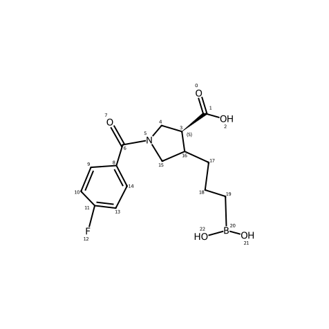 O=C(O)[C@@H]1CN(C(=O)c2ccc(F)cc2)CC1CCCB(O)O